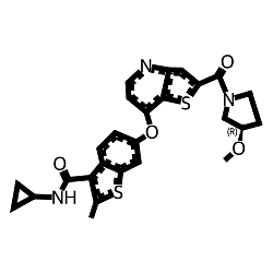 CO[C@@H]1CCN(C(=O)c2cc3nccc(Oc4ccc5c(C(=O)NC6CC6)c(C)sc5c4)c3s2)C1